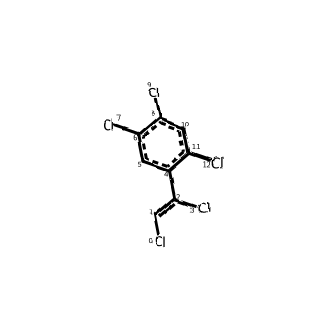 Cl/C=C(\Cl)c1cc(Cl)c(Cl)cc1Cl